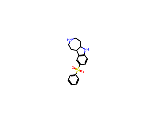 O=S(=O)(c1ccccc1)c1ccc2c(c1)C1CCNCCC1N2